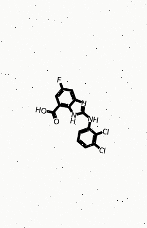 O=C(O)c1cc(F)cc2nc(Nc3cccc(Cl)c3Cl)[nH]c12